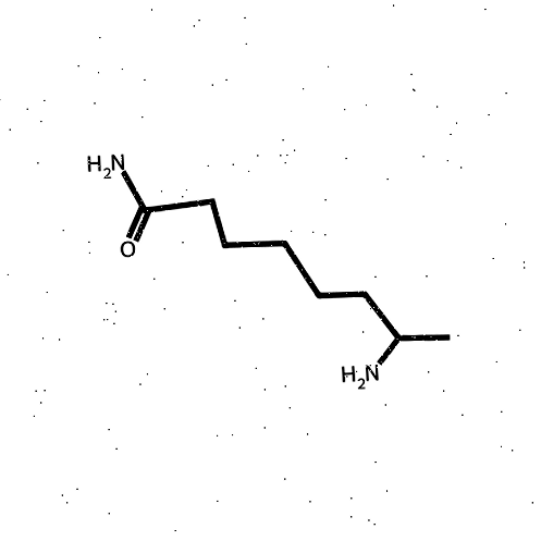 CC(N)CCCCCC(N)=O